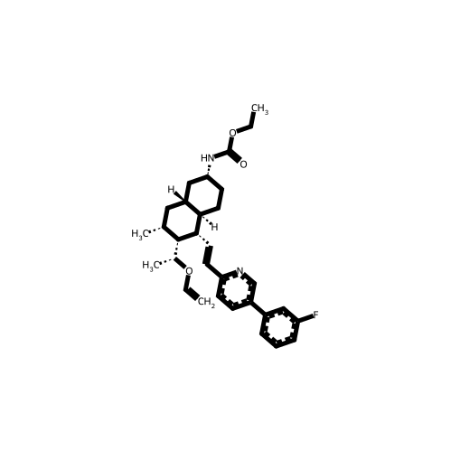 C=CO[C@H](C)[C@H]1[C@@H](/C=C/c2ccc(-c3cccc(F)c3)cn2)[C@@H]2CC[C@@H](NC(=O)OCC)C[C@H]2C[C@H]1C